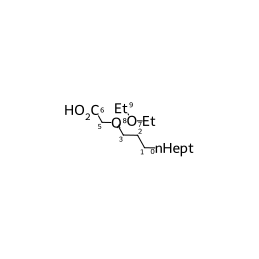 CCCCCCCCCCOCC(=O)O.CCOCC